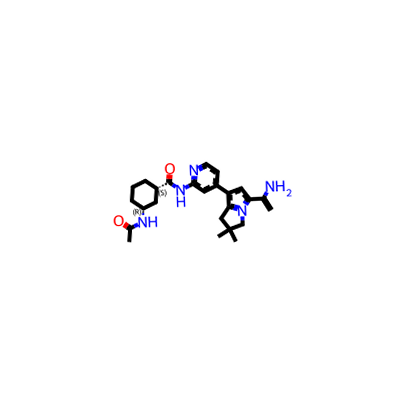 C=C(N)c1cc(-c2ccnc(NC(=O)[C@H]3CCC[C@@H](NC(C)=O)C3)c2)c2n1CC(C)(C)C2